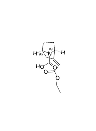 CCOC(=O)C=C1C[C@H]2CC[C@@H]1N2C(=O)O